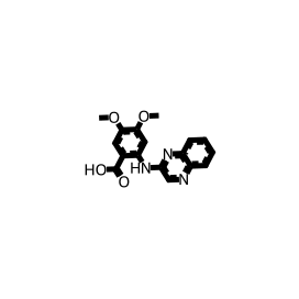 COc1cc(Nc2cnc3ccccc3n2)c(C(=O)O)cc1OC